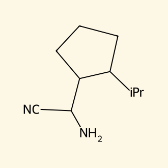 CC(C)C1CCCC1C(N)C#N